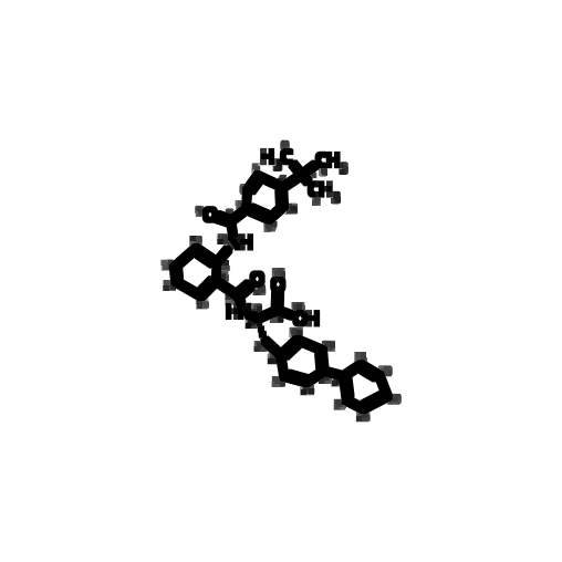 CC(C)(C)c1ccc(C(=O)Nc2ccccc2C(=O)N[C@@H](Cc2ccc(-c3ccccc3)cc2)C(=O)O)cc1